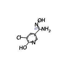 N/C(=N\O)c1cnc(O)c(Cl)c1